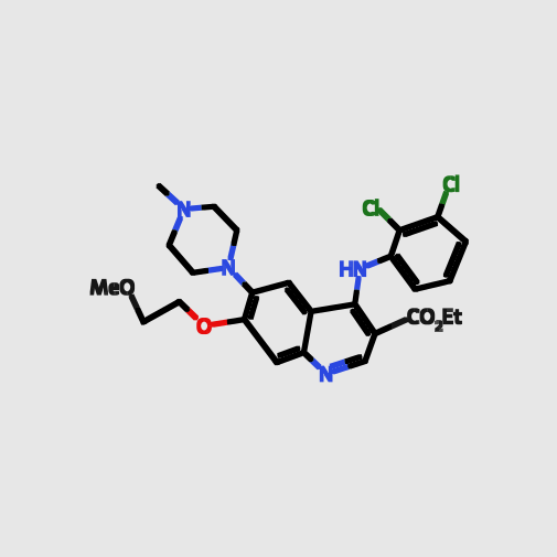 CCOC(=O)c1cnc2cc(OCCOC)c(N3CCN(C)CC3)cc2c1Nc1cccc(Cl)c1Cl